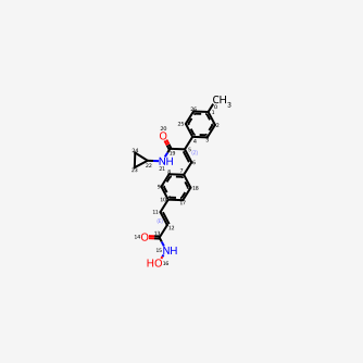 Cc1ccc(/C(=C/c2ccc(/C=C/C(=O)NO)cc2)C(=O)NC2CC2)cc1